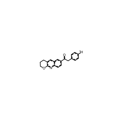 [3H]c1ccc(CC(=O)c2ccc3nc4c(cc3c2)CCCO4)cc1